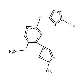 COc1ccc(Sc2cnc(C)s2)cc1-c1cnn(C)c1